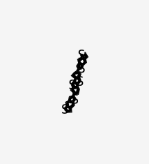 c1cc2cc3sc(-c4ccc5c(c4)sc4c6ccc(-c7cc8cc9sccc9cc8s7)cc6sc54)cc3cc2s1